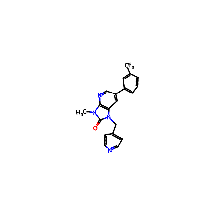 Cn1c(=O)n(Cc2ccncc2)c2cc(-c3cccc(C(F)(F)F)c3)cnc21